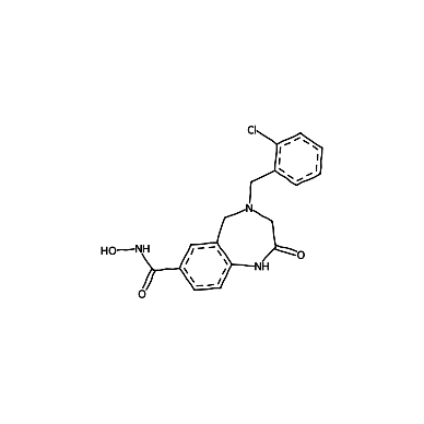 O=C1CN(Cc2ccccc2Cl)Cc2cc(C(=O)NO)ccc2N1